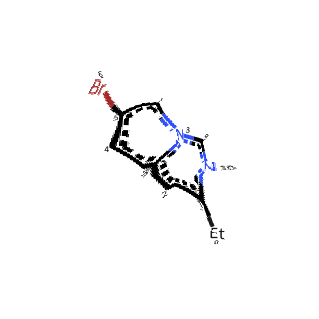 [CH2]Cc1cc2cc(Br)cn2cn1